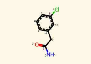 [NH]C(=O)Cc1cccc(Cl)c1